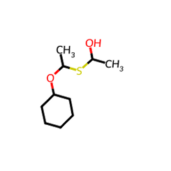 CC(O)SC(C)OC1CCCCC1